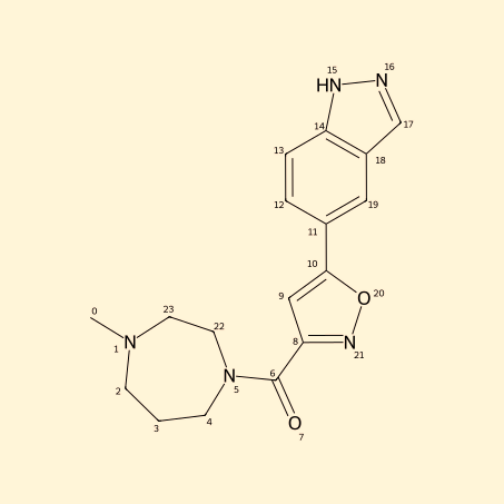 CN1CCCN(C(=O)c2cc(-c3ccc4[nH]ncc4c3)on2)CC1